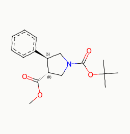 COC(=O)[C@H]1CN(C(=O)OC(C)(C)C)C[C@@H]1c1ccccc1